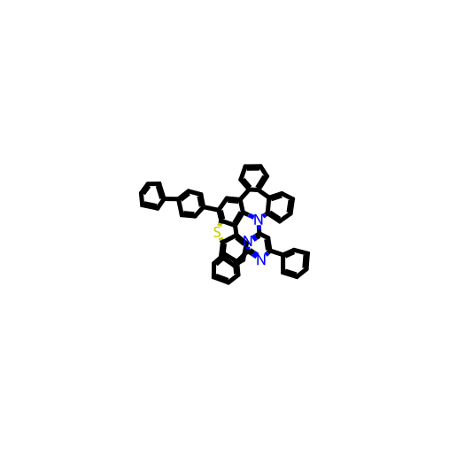 c1ccc(-c2ccc(-c3cc4c(c5c3sc3ccccc35)N(c3cc(-c5ccccc5)nc(-c5ccccc5)n3)c3ccccc3-c3ccccc3-4)cc2)cc1